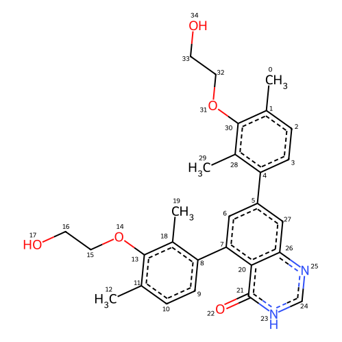 Cc1ccc(-c2cc(-c3ccc(C)c(OCCO)c3C)c3c(=O)[nH]cnc3c2)c(C)c1OCCO